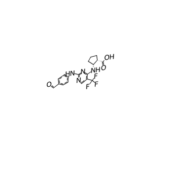 O=Cc1ccc(Nc2ncc(C(F)(F)F)c(N[C@@H]3CCC[C@@H]3C(=O)O)n2)cc1